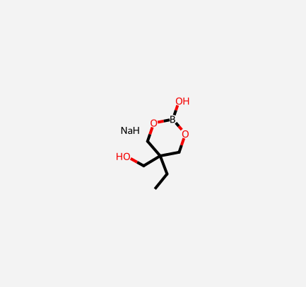 CCC1(CO)COB(O)OC1.[NaH]